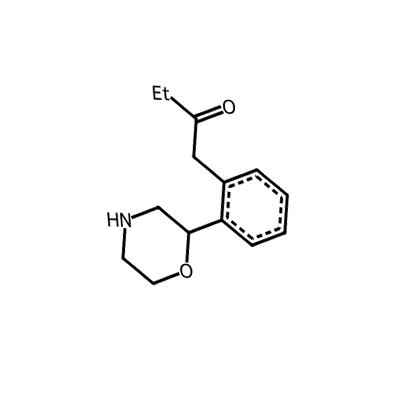 CCC(=O)Cc1ccccc1C1CNCCO1